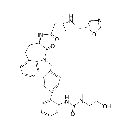 CC(C)(CC(=O)N[C@@H]1CCc2ccccc2N(Cc2ccc(-c3ccccc3NC(=O)NCCO)cc2)C1=O)NCc1cnco1